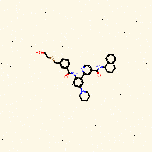 O=C(Nc1ccc(N2CCCCC2)cc1-c1cc(C(=O)NC2CCCc3ccccc32)ccn1)c1cccc(CSCCO)c1